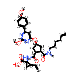 C=CCCCCN(C)C(=O)C1CC(Oc2cc(-c3ccc(OC)cc3)nc(OC)n2)CC1C(=O)NC1(C(=O)O)CC1C=C